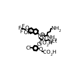 CCSCCN(C(=O)[C@@H](N)CCCN)[C@@H](CNc1ccc2ccccc2c1)C(=O)O.O=C(O)C(F)(F)F.O=C(O)COc1ccc(Cl)cc1Cl